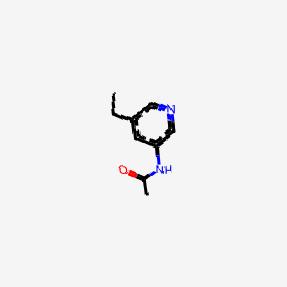 CCc1cncc(NC(C)=O)c1